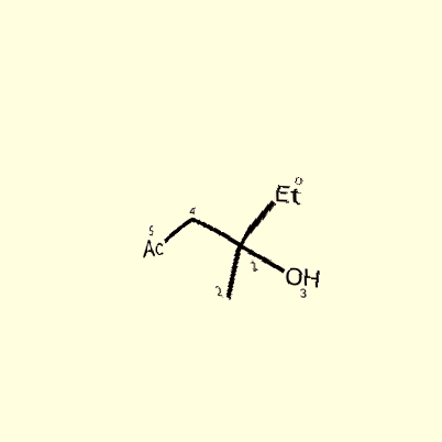 CCC(C)(O)CC(C)=O